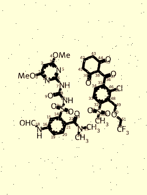 COc1cc(OC)nc(NC(=O)NS(=O)(=O)c2cc(NC=O)ccc2C(=O)N(C)C)n1.CS(=O)(=O)c1ccc(C(=O)C2C(=O)CCCC2=O)c(Cl)c1COCC(F)(F)F